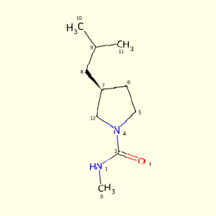 CNC(=O)N1CC[C@H](CC(C)C)C1